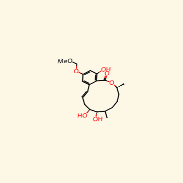 COCOc1cc(O)c2c(c1)/C=C/C[C@H](O)[C@H](O)C(C)CCC[C@H](C)OC2=O